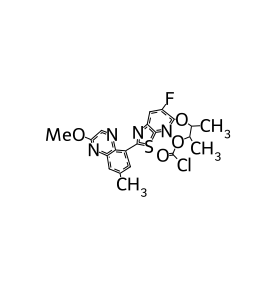 COc1cnc2c(-c3nc4cc(F)c(OC(C)C(C)OC(=O)Cl)nc4s3)cc(C)cc2n1